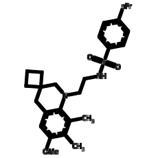 CCCc1ccc(S(=O)(=O)NCCN2CC3(CCC3)Cc3cc(OC)c(C)c(C)c32)cc1